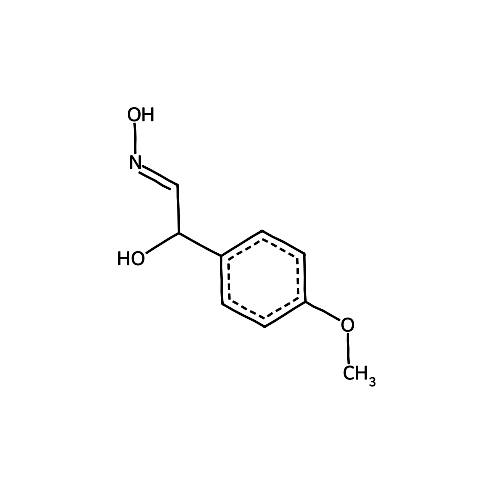 COc1ccc(C(O)C=NO)cc1